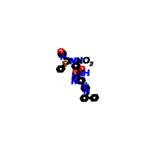 O=[N+]([O-])c1cc(S(=O)(=O)Nc2ncnc3cc(N4CCN(Cc5ccccc5-c5ccccc5)CC4)ccc23)ccc1NC(CCN1CCOCC1)CSc1ccccc1